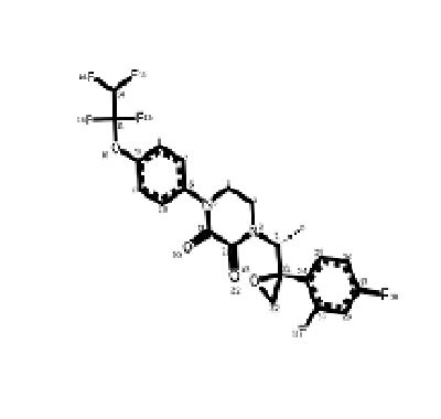 C[C@@H](N1CCN(c2ccc(OC(F)(F)C(F)F)cc2)C(=O)C1=O)[C@]1(c2ccc(F)cc2F)CO1